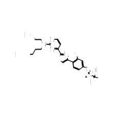 CCCCN(CCC)c1nccc(-c2nc(-c3ccc(N[S+]([O-])C(F)(F)F)cc3Cl)cs2)n1